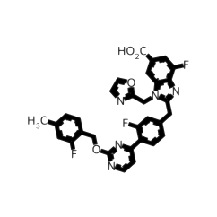 Cc1ccc(COc2nccc(-c3ccc(Cc4nc5c(F)cc(C(=O)O)cc5n4Cc4ncco4)cc3F)n2)c(F)c1